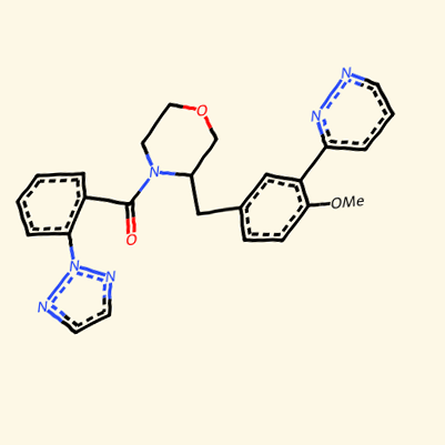 COc1ccc(CC2COCCN2C(=O)c2ccccc2-n2nccn2)cc1-c1cccnn1